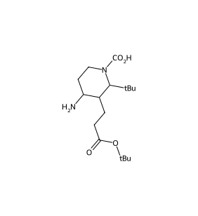 CC(C)(C)OC(=O)CCC1C(N)CCN(C(=O)O)C1C(C)(C)C